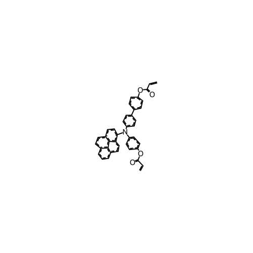 C=CC(=O)Oc1ccc(-c2ccc(N(c3ccc(OC(=O)C=C)cc3)c3ccc4ccc5cccc6ccc3c4c56)cc2)cc1